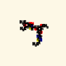 CCc1nn2cc(-c3cc4c(OCc5csc(C6(O)CC(C)OC(C)C6)n5)cc(OC)cc4o3)nc2s1